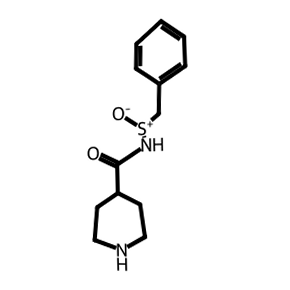 O=C(N[S+]([O-])Cc1ccccc1)C1CCNCC1